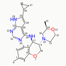 Cc1ccc2c(c1)OC[C@@H](N1CCO[C@H](C)C1)[C@@H]2Nc1ncnc2[nH]c(C3CC3)cc12